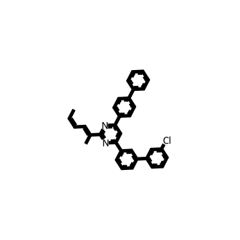 C/C=C\C=C(/C)c1nc(-c2ccc(-c3ccccc3)cc2)cc(-c2cccc(-c3cccc(Cl)c3)c2)n1